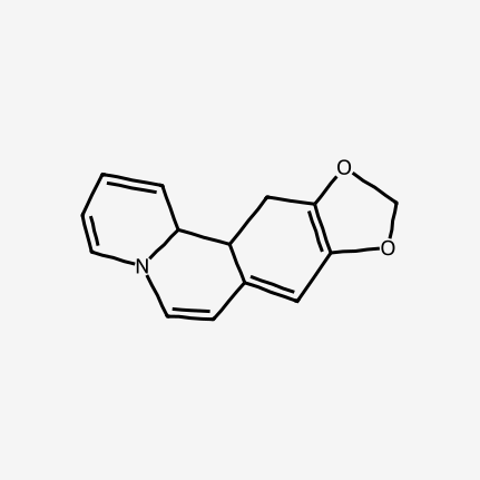 C1=CC2C3CC4=C(C=C3C=CN2C=C1)OCO4